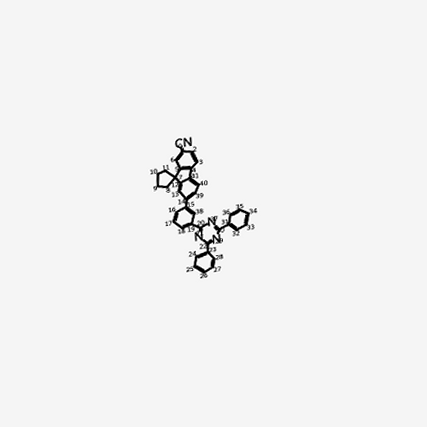 N#Cc1ccc2c(c1)C1(CCCC1)c1cc(-c3cccc(-c4nc(-c5ccccc5)nc(-c5ccccc5)n4)c3)ccc1-2